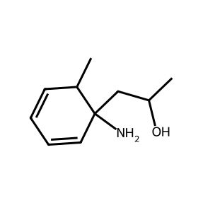 CC(O)CC1(N)C=CC=CC1C